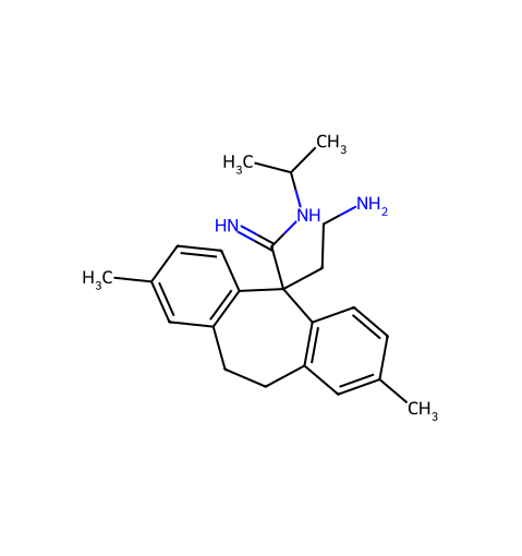 Cc1ccc2c(c1)CCc1cc(C)ccc1C2(CCN)C(=N)NC(C)C